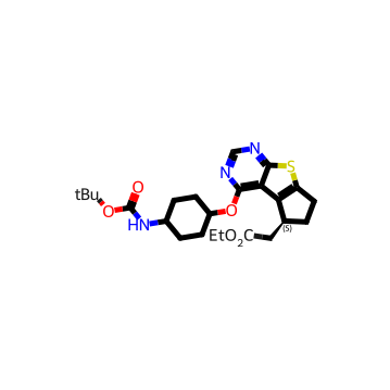 CCOC(=O)C[C@@H]1CCc2sc3ncnc(OC4CCC(NC(=O)OC(C)(C)C)CC4)c3c21